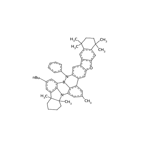 CCCCc1cc2c3c(c1)C1(C)CCCCC1(C)N3c1cc(C)cc3c1B2N(c1ccccc1)c1cc2c(cc1-3)oc1cc3c(cc12)C(C)(C)CCC3(C)C